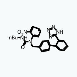 CCCCNC(=O)N(Cc1ccc(-c2ccccc2-c2nnn[nH]2)cc1)c1ccccc1[N+](=O)[O-]